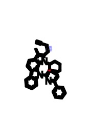 C#C/C=C\c1c(C)c2ccc3c4ccccc4n(-c4cccc(-c5ccccc5)n4)c3c2n1C1CCCCC1